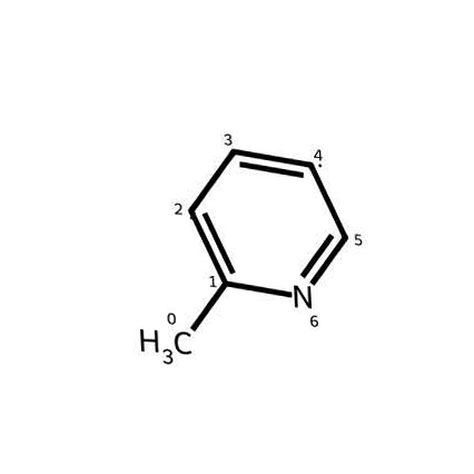 Cc1[c]c[c]cn1